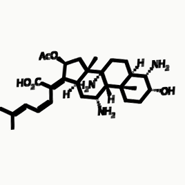 CC(=O)O[C@H]1C[C@@]2(C)[C@@H](C[C@@H](N)[C@H]3[C@@]4(C)CC[C@@H](O)[C@@H](N)[C@@H]4CC[C@@]32N)/C1=C(\C=C/C=C(C)C)C(=O)O